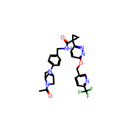 CC(=O)N1CC2CC1CN2c1ccc(CNC(=O)C2(c3ccc(OCc4ccc(C(F)(F)F)nc4)nn3)CC2)cc1